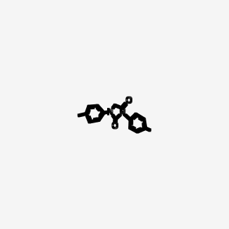 Cc1ccc(N2CC(=O)N(c3ccc(C)cc3)C2=O)cc1